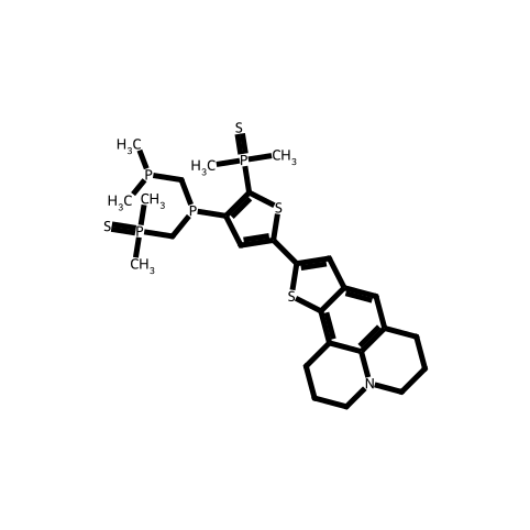 CP(C)CP(CP(C)(C)=S)c1cc(-c2cc3cc4c5c(c3s2)CCCN5CCC4)sc1P(C)(C)=S